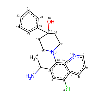 CC(N)c1cc(Cl)c2cccnc2c1N1CCC(O)(c2ccccc2)CC1